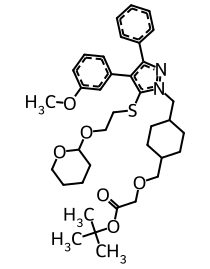 COc1cccc(-c2c(-c3ccccc3)nn(CC3CCC(COCC(=O)OC(C)(C)C)CC3)c2SCCOC2CCCCO2)c1